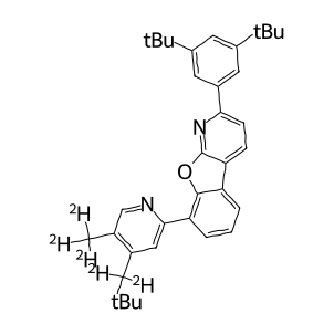 [2H]C([2H])([2H])c1cnc(-c2cccc3c2oc2nc(-c4cc(C(C)(C)C)cc(C(C)(C)C)c4)ccc23)cc1C([2H])([2H])C(C)(C)C